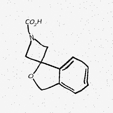 O=C(O)N1CC2(C1)OCc1ccccc12